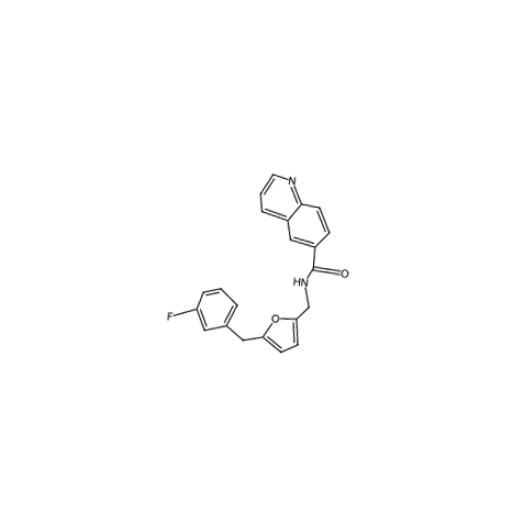 O=C(NCc1ccc(Cc2cccc(F)c2)o1)c1ccc2ncccc2c1